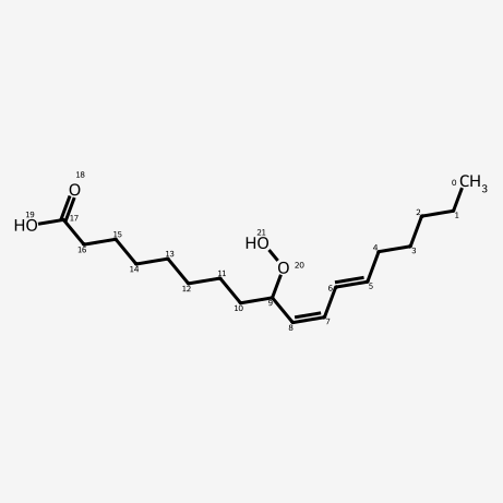 CCCCC/C=C/C=C\C(CCCCCCCC(=O)O)OO